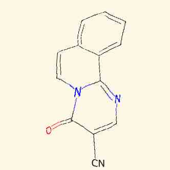 N#Cc1cnc2c3ccccc3ccn2c1=O